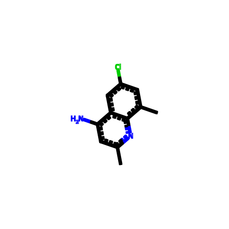 Cc1cc(N)c2cc(Cl)cc(C)c2n1